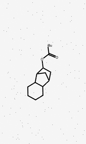 CCC(C)C(=O)OC1CC2CC1C1CCCCC21